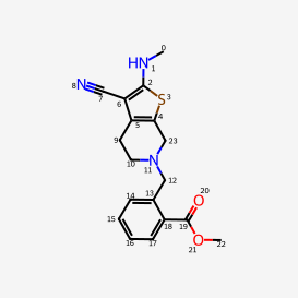 CNc1sc2c(c1C#N)CCN(Cc1ccccc1C(=O)OC)C2